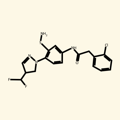 NSc1cc(NC(=O)Cc2ccccc2Cl)ccc1N1CC(C(F)F)C=N1